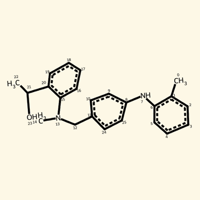 Cc1ccccc1Nc1ccc(CN(C)c2ccccc2C(C)O)cc1